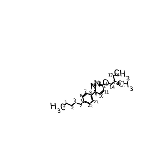 CCCCCc1ccc(-c2ccc(OCC(C)CC)nn2)cc1